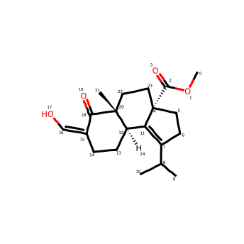 COC(=O)[C@]12CCC(C(C)C)=C1[C@H]1CC/C(=C/O)C(=O)[C@]1(C)CC2